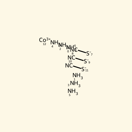 N.N.N.N.N.N.N#C[S-].N#C[S-].N#C[S-].[Co+3]